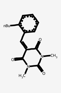 CCCCc1ccccc1C=C1C(=O)N(C)C(=O)N(C)C1=O